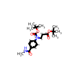 CNC(=O)c1ccc(N(CCC(=O)OC(C)(C)C)C(=O)OC(C)(C)C)cc1